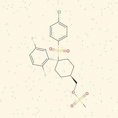 CS(=O)(=O)OC[C@H]1CC[C@@](c2cc(F)ccc2F)(S(=O)(=O)c2ccc(Cl)cc2)CC1